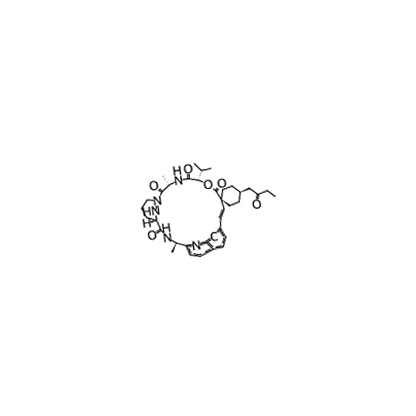 CCC(=O)C[C@H]1CC[C@]2(/C=C/c3ccc4ccc(nc4c3)[C@@H](C)NC(=O)[C@@H]3CCCN(N3)C(=O)[C@H](C)NC(=O)[C@H](C(C)C)OC2=O)CC1